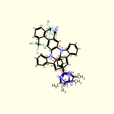 Cc1nc(C)nc(-c2ccc3c(c2)c2ccccc2n3-c2cc(C#N)c(-c3c(C(F)(F)F)cccc3C(F)(F)F)cc2-n2c3ccccc3c3cc(-c4nc(C)nc(C)n4)ccc32)n1